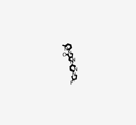 Cc1cccc(N2Cc3nn(-c4ccc(N5CC[C@@H](F)C5)nc4)cc3C2=O)n1